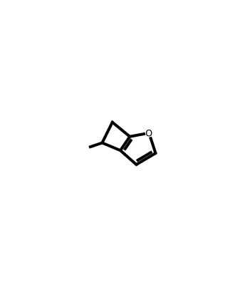 CC1Cc2occc21